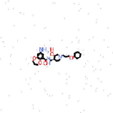 Nc1cc2c(c(C(=O)NC[C@@H]3CCN(CCCOC4CCCCC4)CC3O)c1)OCCCO2